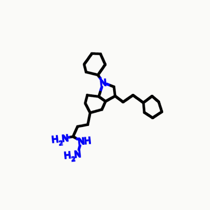 NNC(N)CCC1CCC2C(C1)C(CCC1CCCCC1)CN2C1CCCCC1